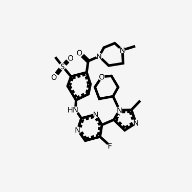 Cc1ncc(-c2nc(Nc3ccc(C(=O)N4CCN(C)CC4)c(S(C)(=O)=O)c3)ncc2F)n1C1CCOCC1